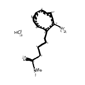 CNC(=O)CCCc1ccccc1N.Cl